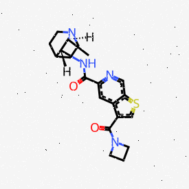 C[C@H]1[C@H](NC(=O)c2cc3c(C(=O)N4CCC4)csc3cn2)C2CCN1CC2